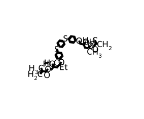 C=C(C)C(=O)OCC(O)CC(C)(CC)Oc1ccc(Sc2ccc(Sc3ccc(OCC(O)CC(C)OC(=O)C(=C)C)cc3)cc2)cc1